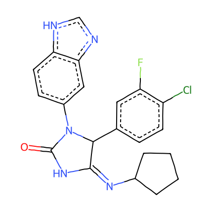 O=C1N/C(=N/C2CCCC2)C(c2ccc(Cl)c(F)c2)N1c1ccc2[nH]cnc2c1